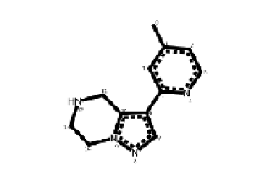 Cc1ccnc(-c2cnn3c2CNCC3)c1